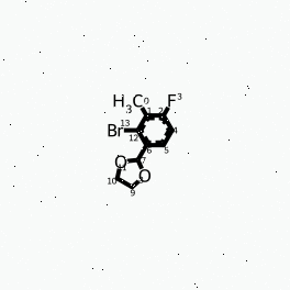 Cc1c(F)ccc(C2OCCO2)c1Br